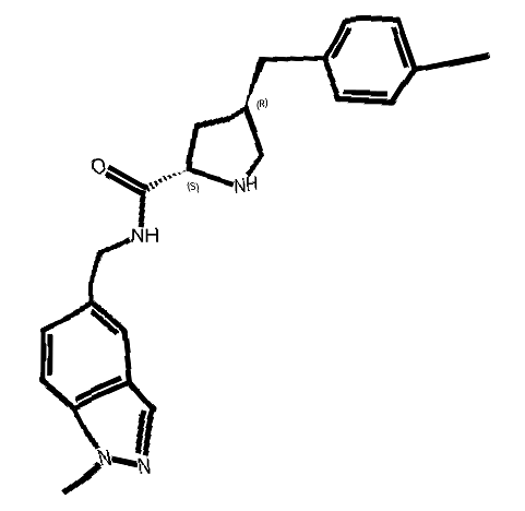 Cc1ccc(C[C@H]2CN[C@H](C(=O)NCc3ccc4c(cnn4C)c3)C2)cc1